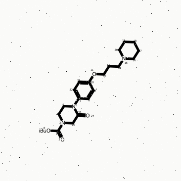 CC(C)COC(=O)N1CCN(c2ccc(OCCCN3CCCCC3)cc2)C(=O)C1